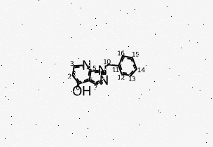 Oc1ccnc2c1cnn2Cc1ccccc1